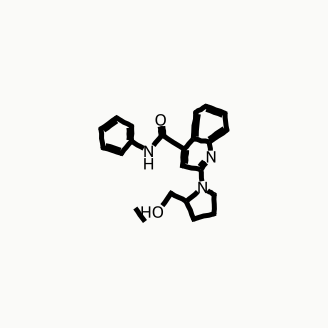 CC.O=C(Nc1ccccc1)c1cc(N2CCCC2CO)nc2ccccc12